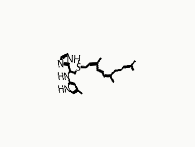 CC(C)=CCCC(C)=CCCC(C)=CCSCC(Nc1cc(C)c[nH]1)c1ncc[nH]1